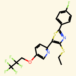 CCSc1nc(-c2ccc(F)cc2)sc1-c1ccc(OCC(F)(F)C(F)(F)F)cn1